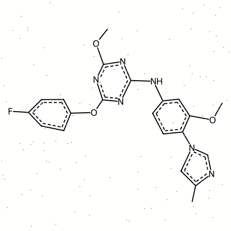 COc1nc(Nc2ccc(-n3cnc(C)c3)c(OC)c2)nc(Oc2ccc(F)cc2)n1